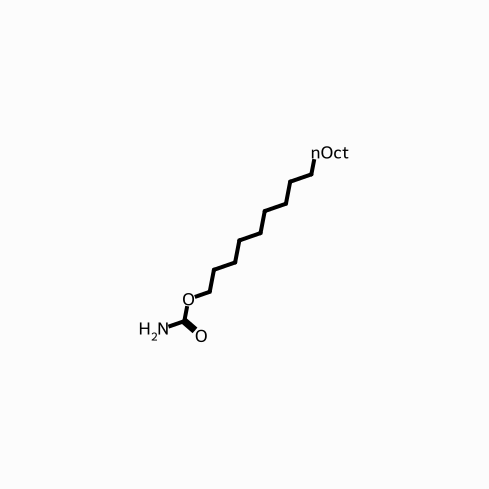 CCCCCCCCCCCCCCCCCOC(N)=O